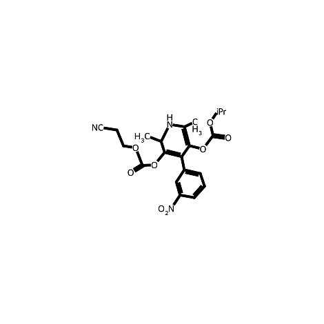 CC1=C(OC(=O)OC(C)C)C(c2cccc([N+](=O)[O-])c2)=C(OC(=O)OCCC#N)C(C)N1